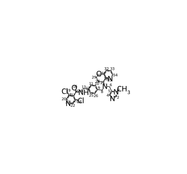 Cn1cncc1CN(Cc1ccc(CNC(=O)c2c(Cl)cncc2Cl)cc1)C1CCOc2cccnc21